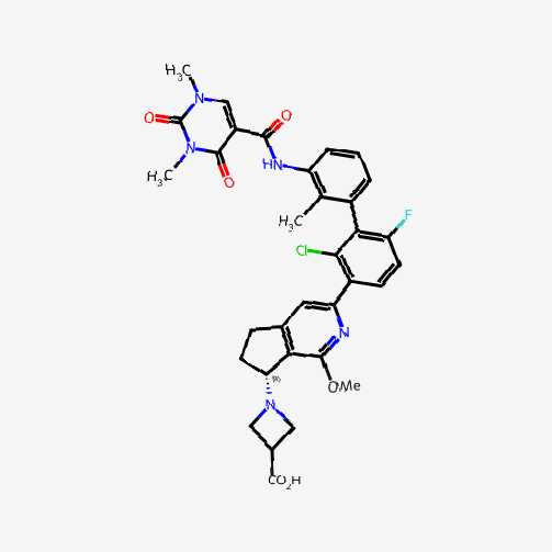 COc1nc(-c2ccc(F)c(-c3cccc(NC(=O)c4cn(C)c(=O)n(C)c4=O)c3C)c2Cl)cc2c1[C@H](N1CC(C(=O)O)C1)CC2